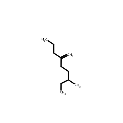 [CH2]CCC(=C)CCC(C)CC